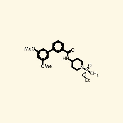 CCOP(C)(=O)N1CCC(NC(=O)c2cccc(-c3cc(OC)cc(OC)c3)c2)CC1